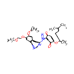 COCCOc1cc2ncnc(NC3=CC(=O)C(OC(C)CCC(C)C)=CC3=O)c2cc1OC